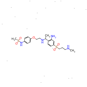 CNCCCS(=O)(=O)c1ccc(C(C)NCCOc2ccc(NS(C)(=O)=O)cc2)c(N)c1